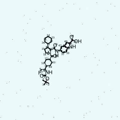 CC(C)(C)OC(=O)N[C@@H](CF)[C@H]1CC[C@@H](C(=O)N2CC[C@@H](C3CCCCC3)[C@H]2C(=O)Nc2ccc3[nH]c(C(=O)O)cc3c2)CC1